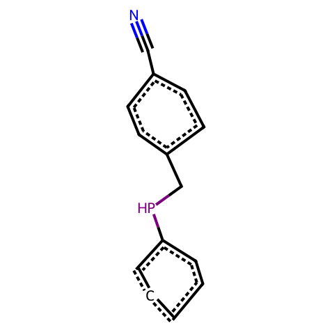 N#Cc1ccc(CPc2ccccc2)cc1